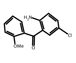 COc1ccccc1C(=O)c1cc(Cl)ccc1N